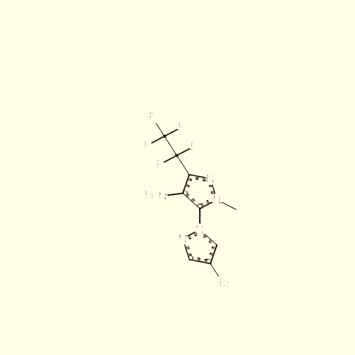 Cn1nc(C(F)(F)C(F)(F)F)c(N)c1-n1cc(Br)cn1